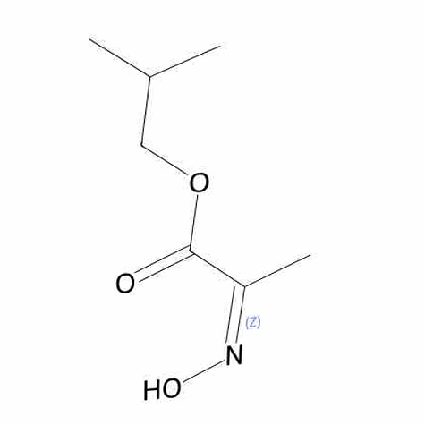 C/C(=N/O)C(=O)OCC(C)C